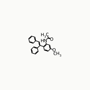 COc1ccc(/C(=C/c2ccccc2)c2ccccc2)c(NC(C)=O)c1